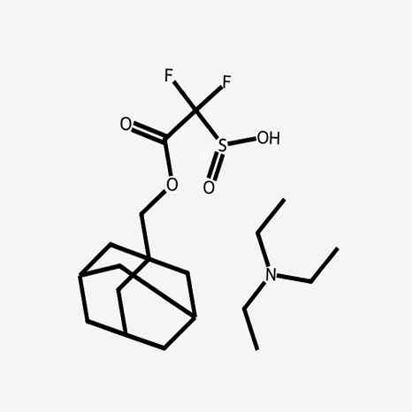 CCN(CC)CC.O=C(OCC12CC3CC(CC(C3)C1)C2)C(F)(F)S(=O)O